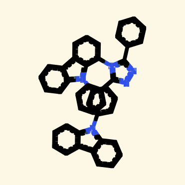 c1ccc(-c2nnc(-c3ccccc3)n2-c2cccc3c4ccccc4n(-c4cccc(-n5c6ccccc6c6ccccc65)c4)c23)cc1